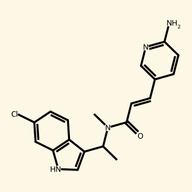 CC(c1c[nH]c2cc(Cl)ccc12)N(C)C(=O)C=Cc1ccc(N)nc1